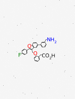 NCc1cccc(-c2ccc3oc(-c4ccc(F)cc4)c(COc4ccccc4CC(=O)O)c3c2)c1